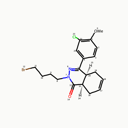 COc1ccc(C2=NN(CCCCBr)C(=O)[C@@H]3CC=CC[C@H]23)cc1Cl